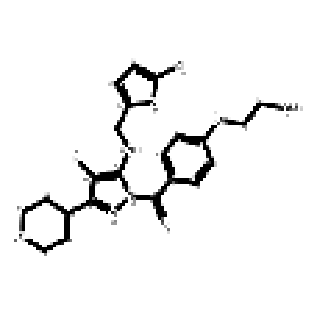 COCCOc1ccc(C(=O)n2nc(C3CCOCC3)c(F)c2NCc2ccc(Cl)s2)cc1